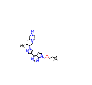 C[C@@H]1CNCCN1CC(CC#N)n1cc(-c2ncnc3c2ccn3COCC[Si](C)(C)C)cn1